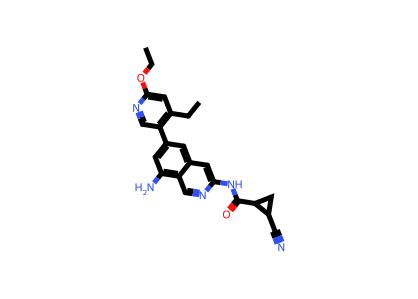 CCOc1cc(CC)c(-c2cc(N)c3cnc(NC(=O)C4CC4C#N)cc3c2)cn1